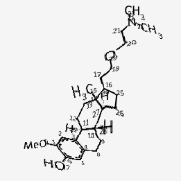 COc1cc2c(cc1O)CC[C@@H]1[C@@H]2CC[C@]2(C)[C@@H](CCOCCN(C)C)CC[C@@H]12